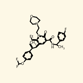 C\C=C(/C=c1/cc(C(=O)NC(C)c2ccc(F)cc2)c(=O)n(CCN2CCOCC2)/c1=C\CC)c1ccc(OC(F)F)cc1